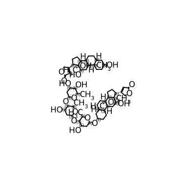 C[C@H]1O[C@@H](O[C@H]2[C@@H](O)C[C@H](O[C@H]3[C@@H](O)C[C@H](O[C@H]4CC[C@@]5(C)[C@H](CC[C@@H]6[C@@H]5C[C@@H](O)[C@]5(C)[C@@H](C7=CC(=O)OC7)CC[C@]65O)C4)O[C@@H]3C)O[C@@H]2C)C[C@H](O)[C@@H]1O.C[C@]12CC[C@H](O)C[C@H]1CC[C@@H]1[C@@H]2C[C@@H](O)[C@]2(C)[C@@H](C3=CC(=O)OC3)CC[C@]12O